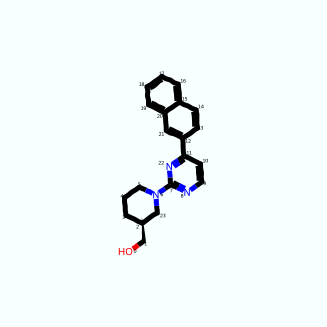 OC[C@H]1CCCN(c2nccc(-c3ccc4ccccc4c3)n2)C1